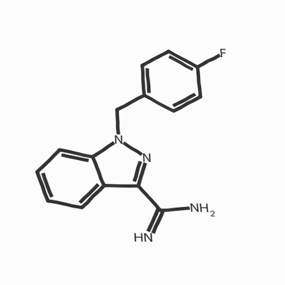 N=C(N)c1nn(Cc2ccc(F)cc2)c2ccccc12